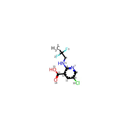 CC(F)(F)CNc1ncc(Cl)cc1C(=O)O